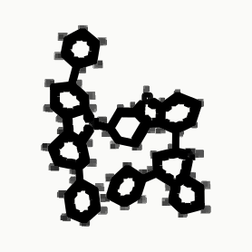 C1=c2oc3cccc(-c4cc(-c5ccccc5)c5ccccc5n4)c3c2=CCC1n1c2cc(-c3ccccc3)ccc2c2ccc(-c3ccccc3)cc21